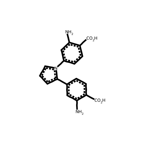 Nc1cc(-c2cccn2-c2ccc(C(=O)O)c(N)c2)ccc1C(=O)O